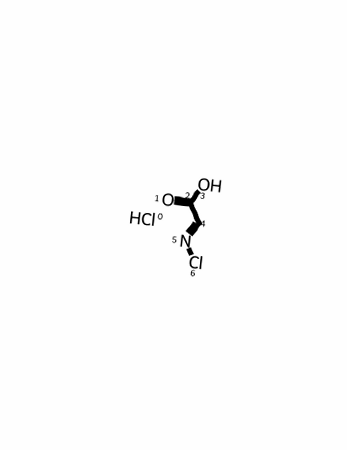 Cl.O=C(O)C=NCl